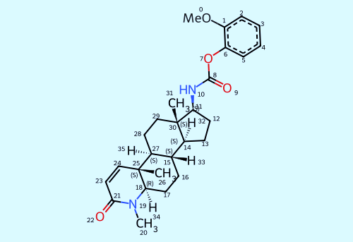 COc1ccccc1OC(=O)N[C@H]1CC[C@H]2[C@@H]3CC[C@H]4N(C)C(=O)C=C[C@]4(C)[C@H]3CC[C@]12C